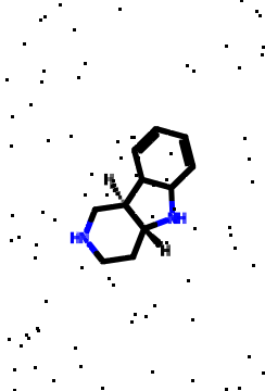 C1=CC2N[C@@H]3CCNC[C@H]3C2C=C1